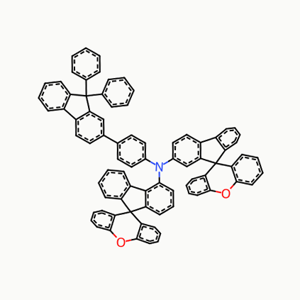 c1ccc(C2(c3ccccc3)c3ccccc3-c3ccc(-c4ccc(N(c5ccc6c(c5)C5(c7ccccc7Oc7ccccc75)c5ccccc5-6)c5cccc6c5-c5ccccc5C65c6ccccc6Oc6ccccc65)cc4)cc32)cc1